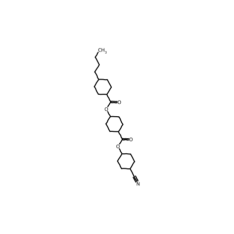 CCCCC1CCC(C(=O)OC2CCC(C(=O)OC3CCC(C#N)CC3)CC2)CC1